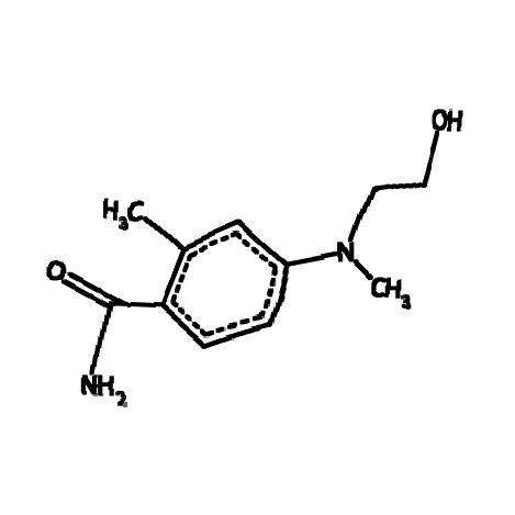 Cc1cc(N(C)CCO)ccc1C(N)=O